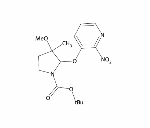 COC1(C)CCN(C(=O)OC(C)(C)C)C1Oc1cccnc1[N+](=O)[O-]